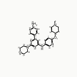 CN1CCC(Oc2ccc(Nc3cc(-c4cnc(N)nc4)nc(N4CCOCC4)n3)cn2)CC1